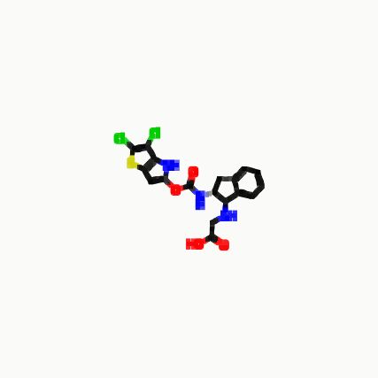 O=C(O)CN[C@@H]1c2ccccc2C[C@H]1NC(=O)Oc1cc2sc(Cl)c(Cl)c2[nH]1